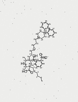 CCCCCCC1(C(=O)O)C(C)NC(C)C(CCCOCCCN2CCC(c3ccccc3)(c3ccccc3)CC2)(C(=O)O)[C@@H]1c1cccc([N+](=O)[O-])c1